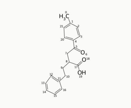 Cc1ccc(C(=O)CC(CCc2ccccc2)C(=O)O)cc1